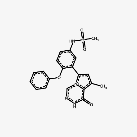 Cc1cc(-c2cc(NS(C)(=O)=O)ccc2Oc2ccccc2)n2cn[nH]c(=O)c12